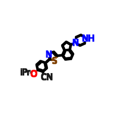 CC(C)Oc1ccc(-c2ncc(-c3cccc4c3CCC4N3CCNCC3)s2)cc1C#N